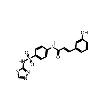 O=C(/C=C/c1cccc(O)c1)Nc1ccc(S(=O)(=O)Nc2nncs2)cc1